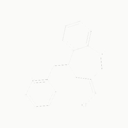 ClC=C1COc2cc[c]cc2C(Cc2ccccc2)C1